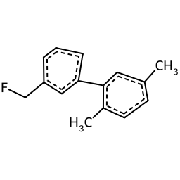 Cc1ccc(C)c(-c2cccc(CF)c2)c1